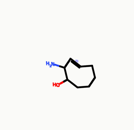 NC1/C=C/CCCCC1O